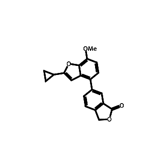 COc1ccc(-c2ccc3c(c2)C(=O)OC3)c2cc(C3CC3)oc12